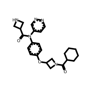 O=C(C1CCCCC1)N1CC(Oc2ccc(N(C(=O)C3CNC3)c3ccnnc3)cc2)C1